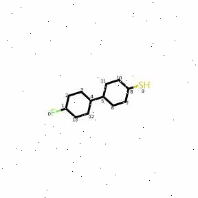 FC1CCC(C2CCC(S)CC2)CC1